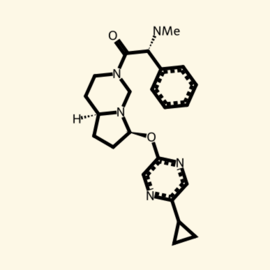 CN[C@@H](C(=O)N1CC[C@@H]2CC[C@H](Oc3cnc(C4CC4)cn3)N2C1)c1ccccc1